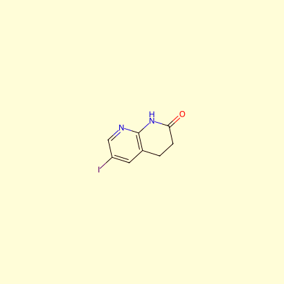 O=C1CCc2cc(I)cnc2N1